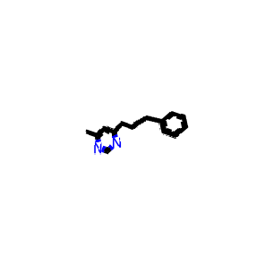 Cc1cc(CCCc2ccccc2)ncn1